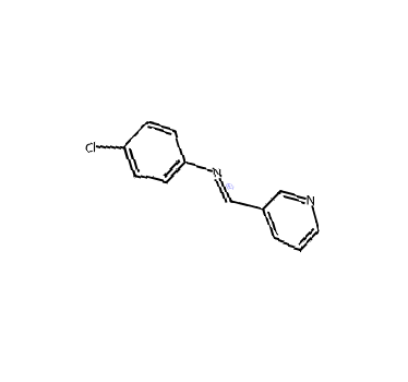 Clc1ccc(/N=C/c2cccnc2)cc1